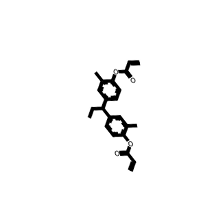 C=CC(=O)Oc1ccc(C(CC)c2ccc(OC(=O)C=C)c(C)c2)cc1C